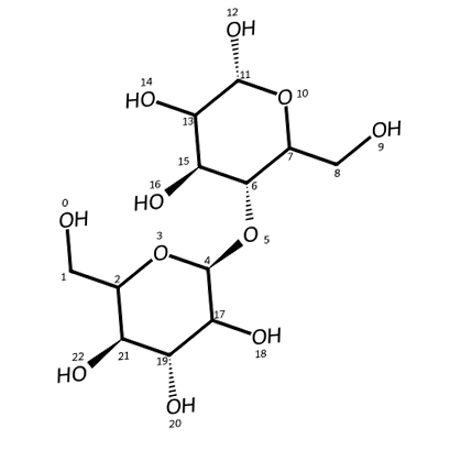 OCC1O[C@@H](O[C@H]2C(CO)O[C@@H](O)C(O)[C@@H]2O)C(O)[C@H](O)[C@H]1O